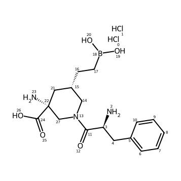 Cl.Cl.N[C@@H](Cc1ccccc1)C(=O)N1C[C@@H](CCB(O)O)C[C@](N)(C(=O)O)C1